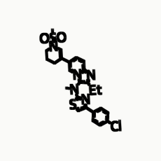 CCc1nc2ccc(C3=CN(S(C)(=O)=O)CCC3)cn2c1N(C)c1nc(-c2ccc(Cl)cc2)cs1